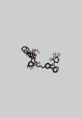 CN(CCCc1cnc(N2C3CCC2CN(c2cc(-c4ccccc4O)nnc2N)C3)nc1)CCCc1ccc2c(c1)c1cccnc1n2C1CCC(=O)NC1=O